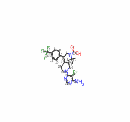 CC(C)(C)N(CC(c1ccc(C(F)(F)F)cc1)C1CCN(c2ncnc(N)c2Br)CC1)C(=O)O